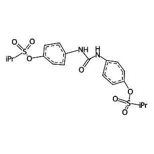 CC(C)S(=O)(=O)Oc1ccc(NC(=O)Nc2ccc(OS(=O)(=O)C(C)C)cc2)cc1